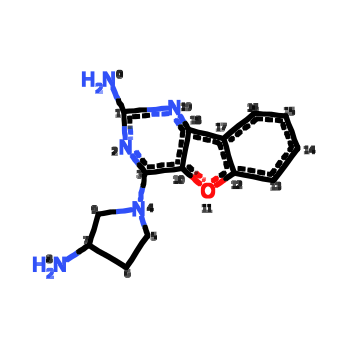 Nc1nc(N2CCC(N)C2)c2oc3ccccc3c2n1